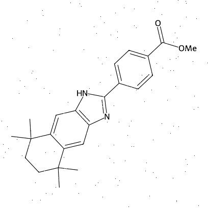 COC(=O)c1ccc(-c2nc3cc4c(cc3[nH]2)C(C)(C)CCC4(C)C)cc1